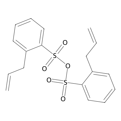 C=CCc1ccccc1S(=O)(=O)OS(=O)(=O)c1ccccc1CC=C